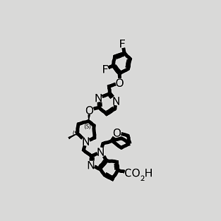 C[C@H]1C[C@@H](Oc2ccnc(COc3ccc(F)cc3F)n2)CCN1Cc1nc2ccc(C(=O)O)cc2n1CC12CC(CO1)C2